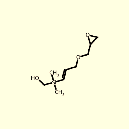 C[Si](C)(C=CCOCC1CO1)CO